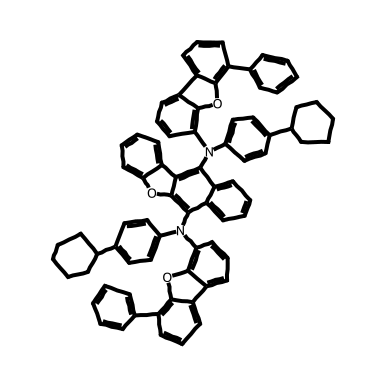 c1ccc(-c2cccc3c2oc2c(N(c4ccc(C5CCCCC5)cc4)c4c5ccccc5c(N(c5ccc(C6CCCCC6)cc5)c5cccc6c5oc5c(-c7ccccc7)cccc56)c5c4oc4ccccc45)cccc23)cc1